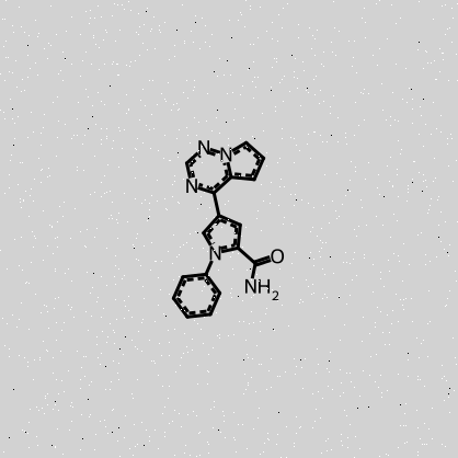 NC(=O)c1cc(-c2ncnn3cccc23)cn1-c1ccccc1